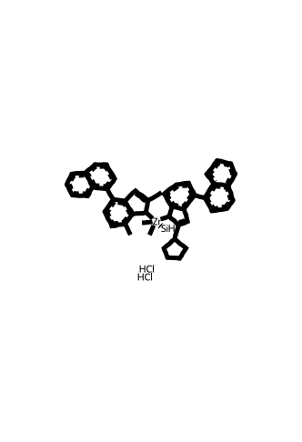 CC1=Cc2c(-c3cccc4ccccc34)ccc(C)c2[CH]1[Zr]([CH3])([CH3])(=[SiH2])[CH]1C(C2CCCC2)=Cc2c(-c3cccc4ccccc34)cccc21.Cl.Cl